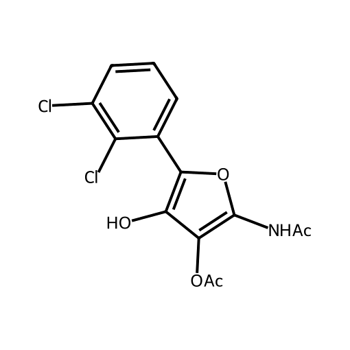 CC(=O)Nc1oc(-c2cccc(Cl)c2Cl)c(O)c1OC(C)=O